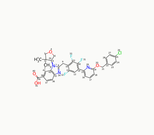 CC1(C)COC[C@H]1n1c(Cc2c(F)cc(-c3cccc(OCc4ccc(Cl)cc4)n3)c(F)c2F)nc2ccc(C(=O)O)cc21